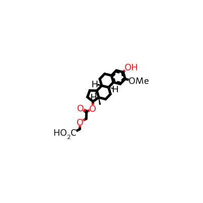 COc1cc2c(cc1O)CC[C@@H]1[C@@H]2CC[C@]2(C)C(OC(=O)COCC(=O)O)CC[C@@H]12